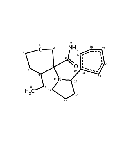 CCC1CCCCC1(C(N)=O)N1CCCC1c1ccccc1